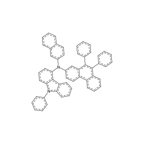 c1ccc(-c2c(-c3ccccc3)c3cc(N(c4ccc5ccccc5c4)c4cccc5c4c4ccccc4n5-c4ccccc4)ccc3c3ccccc23)cc1